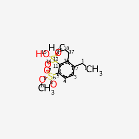 CCc1ccc(S(=O)(=O)OC)c(S(=O)(=O)O)c1CC